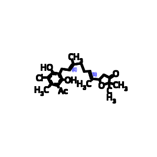 CC(=O)c1c(C)c(Cl)c(O)c(C/C=C(\C)CC/C=C(\C)C2CC(=O)C(C)(C)O2)c1O